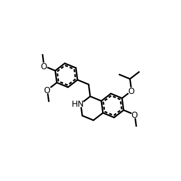 COc1ccc(CC2NCCc3cc(OC)c(OC(C)C)cc32)cc1OC